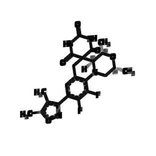 Cc1onc(-c2cc3c(c(F)c2F)N2C[C@@H](C)O[C@@H](C)[C@@H]2C2(C3)C(=O)NC(=O)NC2=O)c1C